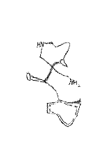 NC1(C(=O)c2ccccc2)CNCCO1